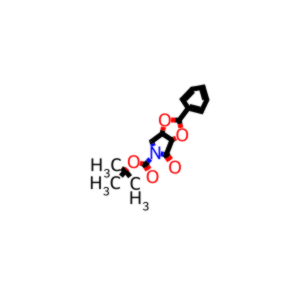 CC(C)(C)OC(=O)N1CC2OC(c3ccccc3)OC2C1=O